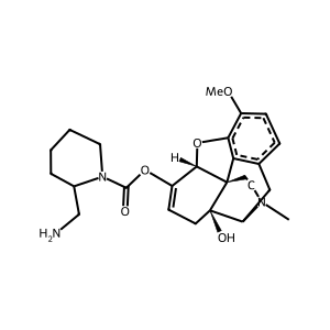 COc1ccc2c3c1O[C@H]1C(OC(=O)N4CCCCC4CN)=CC[C@@]4(O)C(C2)N(C)CC[C@]314